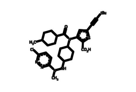 CC1CCC(C(=O)N(c2cc(C#CC(C)(C)C)sc2C(=O)O)C2CCC(NN(C)c3ccc(Cl)nn3)CC2)CC1